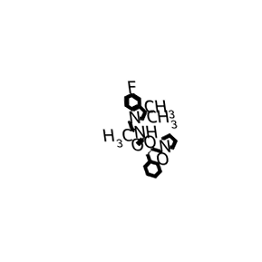 C[C@@H](CN1CC(C)(C)c2cc(F)ccc21)NC(=O)O[C@@H](CC1CCCCC1)C(=O)N1CCCC1